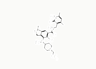 CCc1c(C(=O)NCc2c(C)cc(C)[nH]c2=O)cc2c(cnn2C)c1N(CC)C1CCN(CC(F)(F)F)CC1